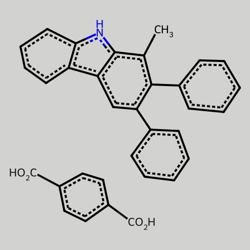 Cc1c(-c2ccccc2)c(-c2ccccc2)cc2c1[nH]c1ccccc12.O=C(O)c1ccc(C(=O)O)cc1